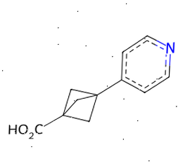 O=C(O)C12CC(c3ccncc3)(C1)C2